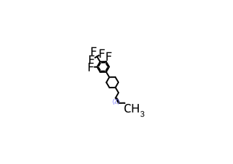 CC/C=C\CC1CCC(c2cc(F)c(C(F)(F)F)c(F)c2)CC1